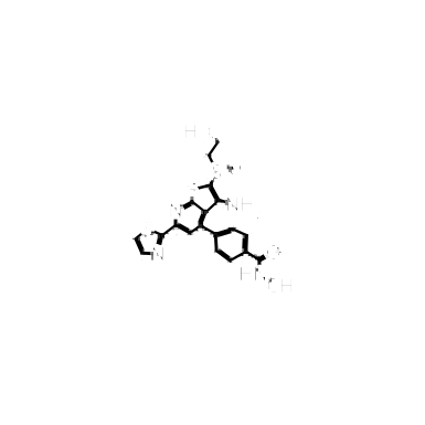 CCC[S+]([O-])c1sc2nc(-c3nccs3)cc(-c3ccc(C(=O)NC)cc3)c2c1N